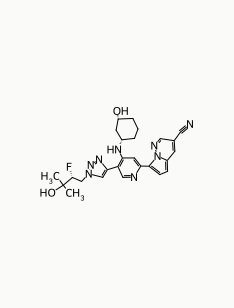 CC(C)(O)[C@H](F)Cn1cc(-c2cnc(-c3ccc4cc(C#N)cnn34)cc2N[C@H]2CCC[C@@H](O)C2)nn1